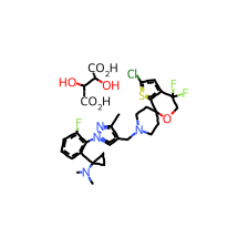 Cc1nn(-c2c(F)cccc2C2(N(C)C)CC2)cc1CN1CCC2(CC1)OCC(F)(F)c1cc(Cl)sc12.O=C(O)C(O)C(O)C(=O)O